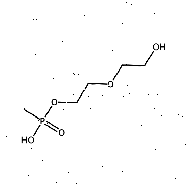 CP(=O)(O)OCCOCCO